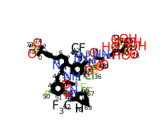 CC(C)(C#Cc1ccc(-c2ccc(Cl)c3c(N(C(=O)C(=O)NCCCC(O)(P(=O)(O)O)P(=O)(O)O)S(C)(=O)=O)nn(CC(F)(F)F)c23)c([C@H](Cc2cc(F)cc(F)c2)NC(=O)Cn2nc(C(F)(F)F)c3c2C(F)(F)C2C[C@H]32)n1)S(C)(=O)=O